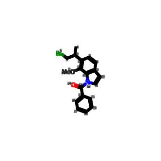 COc1c(C(C)CBr)ccc2ccn(C(=O)c3ccccc3)c12